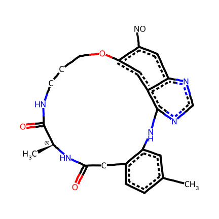 Cc1ccc2c(c1)Nc1ncnc3cc(N=O)c(cc13)OCCCNC(=O)[C@H](C)NC(=O)C2